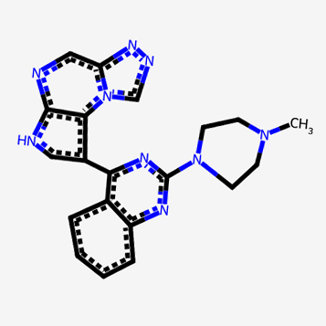 CN1CCN(c2nc(-c3c[nH]c4ncc5nncn5c34)c3ccccc3n2)CC1